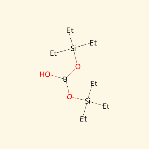 CC[Si](CC)(CC)OB(O)O[Si](CC)(CC)CC